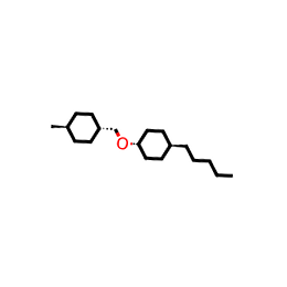 CCCCC[C@H]1CC[C@H](OC[C@H]2CC[C@H](C)CC2)CC1